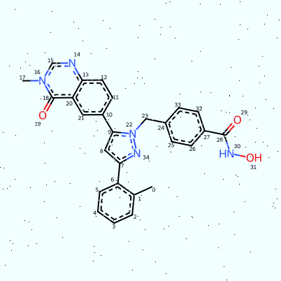 Cc1ccccc1-c1cc(-c2ccc3ncn(C)c(=O)c3c2)n(Cc2ccc(C(=O)NO)cc2)n1